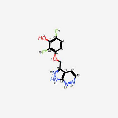 Oc1c(F)ccc(OCc2n[nH]c3nnccc23)c1F